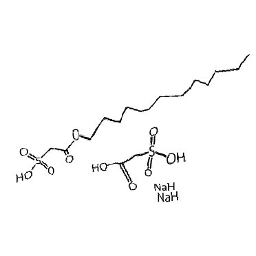 CCCCCCCCCCCCOC(=O)CS(=O)(=O)O.O=C(O)CS(=O)(=O)O.[NaH].[NaH]